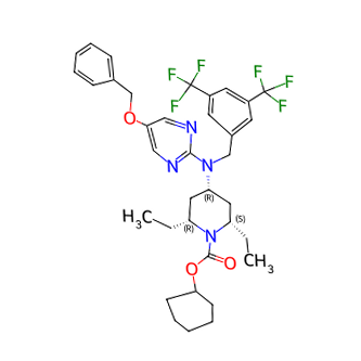 CC[C@@H]1C[C@H](N(Cc2cc(C(F)(F)F)cc(C(F)(F)F)c2)c2ncc(OCc3ccccc3)cn2)C[C@H](CC)N1C(=O)OC1CCCCC1